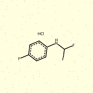 Cl.Fc1ccc(NC(F)F)cc1